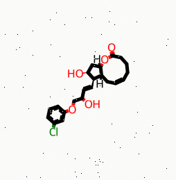 O=C1CCC/C=C\C[C@@H]2[C@@H](/C=C/C(O)COc3cccc(Cl)c3)[C@H](O)C[C@@H]2O1